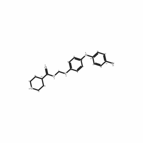 O=C(OCSc1ccc(Oc2ccc(Br)cc2)cc1)C1CCOCC1